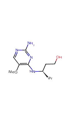 COc1cnc(N)nc1N[C@@H](CCO)C(C)C